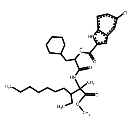 CCCCCCCC(CC)C(C)(NC(=O)C(CC1CCCCC1)NC(=O)c1cc2cc(Cl)ccc2[nH]1)C(=O)OC